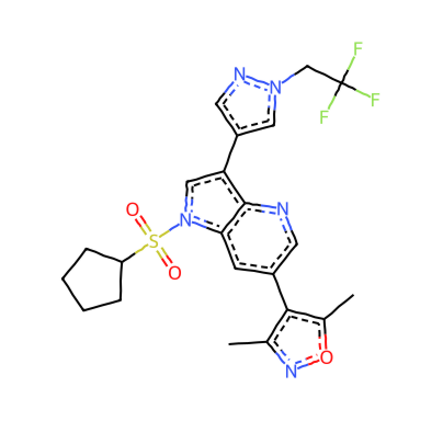 Cc1noc(C)c1-c1cnc2c(-c3cnn(CC(F)(F)F)c3)cn(S(=O)(=O)C3CCCC3)c2c1